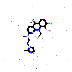 CSc1c(Cl)ccc2c(=O)c3ccc(N(C)CCn4ccnc4C)nc3n(CC(=O)O)c12